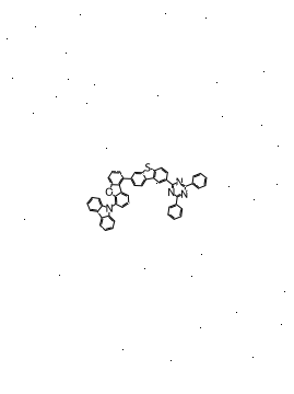 c1ccc(-c2nc(-c3ccccc3)nc(-c3ccc4sc5cc(-c6cccc7oc8c(-n9c%10ccccc%10c%10ccccc%109)cccc8c67)ccc5c4c3)n2)cc1